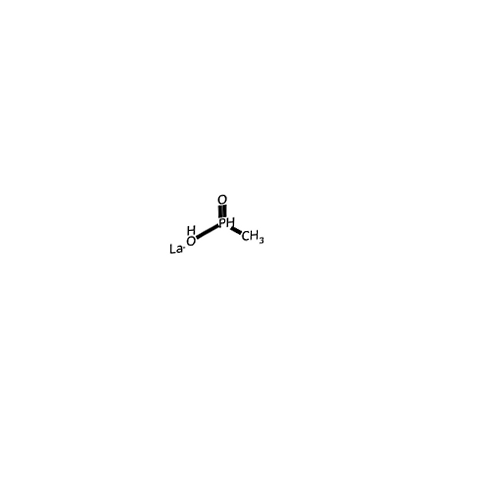 C[PH](=O)O.[La]